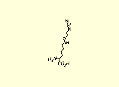 [N-]=[N+]=NCCONCCCC[C@H](N)C(=O)O